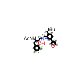 CC(=O)NC(Cc1cc(F)cc(F)c1)C(O)CNCc1cc(-c2ccoc2)ccc1CC(C)(C)C